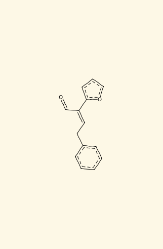 O=CC(=CCc1ccccc1)c1ccco1